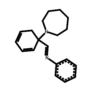 C1=CCC(C=Nc2ccccc2)(N2CCCCCC2)C=C1